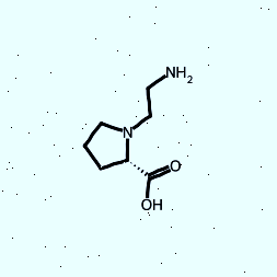 NCCN1CCC[C@H]1C(=O)O